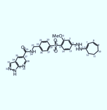 COc1cc(NNC2=CC=CCCC2)ccc1S(=O)(=O)c1ccc(CNC(=O)c2cnc3[nH]ncc3c2)cc1